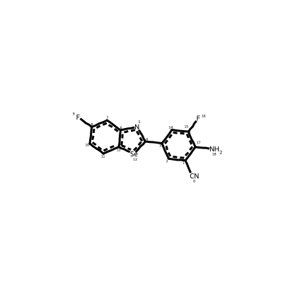 N#Cc1cc(-c2nc3cc(F)ccc3[se]2)cc(F)c1N